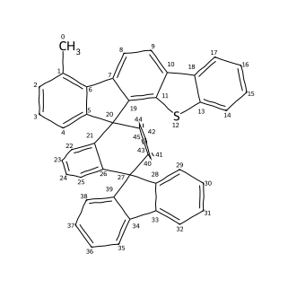 Cc1cccc2c1-c1ccc3c(sc4ccccc43)c1C21c2ccccc2C2(c3ccccc3-c3ccccc32)c2ccccc21